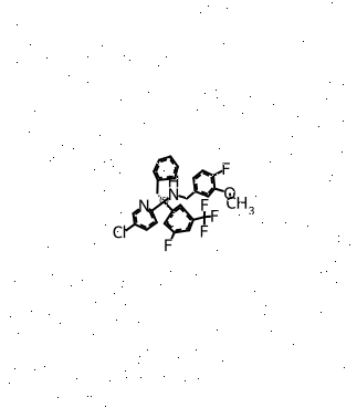 COc1cc(CN[C@@](Cc2ccccc2)(c2cc(F)cc(C(F)(F)F)c2)c2ccc(Cl)cn2)ccc1F